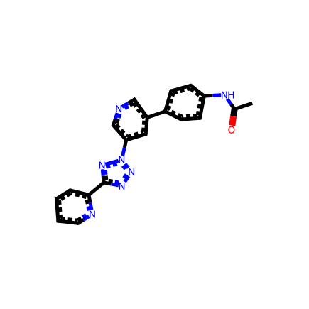 CC(=O)Nc1ccc(-c2cncc(-n3nnc(-c4ccccn4)n3)c2)cc1